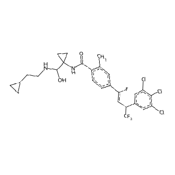 Cc1cc(/C(F)=C/C(c2cc(Cl)c(Cl)c(Cl)c2)C(F)(F)F)ccc1C(=O)NC1(C(O)NCCC2CC2)CC1